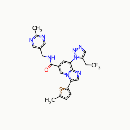 Cc1ncc(CNC(=O)c2cc(-n3nncc3CC(F)(F)F)c3ncc(-c4ccc(C)s4)n3c2)cn1